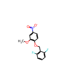 COc1cc([N+](=O)[O-])ccc1OCc1c(F)cccc1F